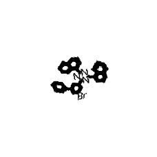 Brc1cc(-c2ccccc2)cc(-c2nc(-c3cccc4ccccc34)nc(-c3cccc4ccccc34)n2)c1